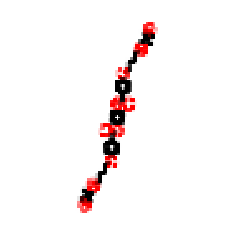 CC1(COCCCCOc2ccc(C(=O)Oc3ccc(OC(=O)c4ccc(OCCCCOCC5(C)COC5)cc4)cc3)cc2)COC1